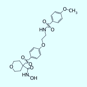 COc1ccc(S(=O)(=O)NCCOc2ccc(S(=O)(=O)C3(C(=O)NO)CCOCC3)cc2)cc1